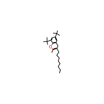 CCCCCCCCC1=C(C)Oc2c(cc(C(C)(C)C)cc2C(C)(C)C)C1